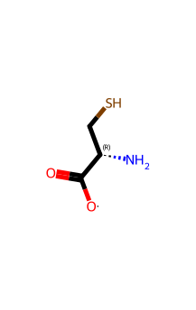 N[C@@H](CS)C([O])=O